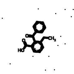 CCc1cccc(C(=O)O)c1C(=O)c1ccccc1